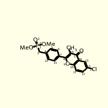 COP(=O)(Cc1ccc(-c2oc3ccc(Cl)cc3c(=O)c2C)cc1)OC